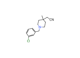 CC1(CC#N)CCN(Cc2cccc(Cl)c2)CC1